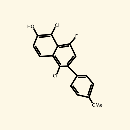 COc1ccc(-c2cc(F)c3c(Cl)c(O)ccc3c2Cl)cc1